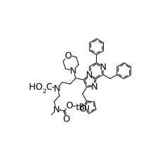 CN(CCN(CCC(c1c(Cc2ccco2)nc2c(Cc3ccccc3)nc(-c3ccccc3)cn12)N1CCOCC1)C(=O)O)C(=O)OC(C)(C)C